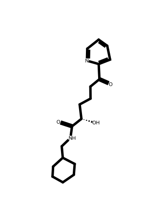 O=C(CCC[C@H](O)C(=O)NCC1CCCCC1)c1ccccn1